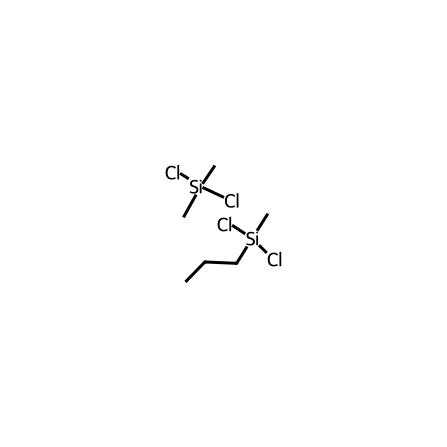 CCC[Si](C)(Cl)Cl.C[Si](C)(Cl)Cl